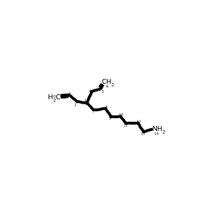 C=CCC(CC=C)CCCCCCCN